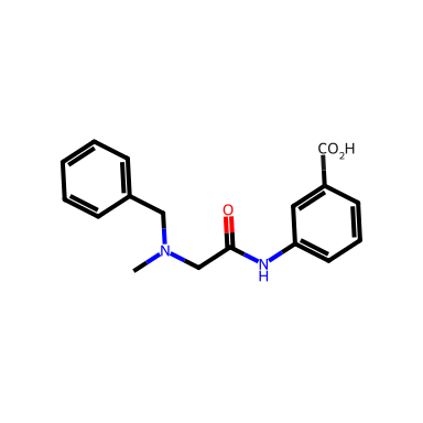 CN(CC(=O)Nc1cccc(C(=O)O)c1)Cc1ccccc1